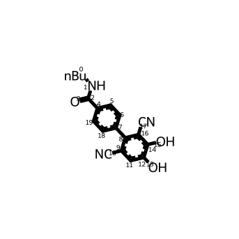 CCCCNC(=O)c1ccc(-c2c(C#N)cc(O)c(O)c2C#N)cc1